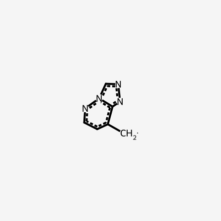 [CH2]c1ccnn2cnnc12